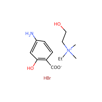 Br.CC[N+](C)(C)CCO.Nc1ccc(C(=O)[O-])c(O)c1